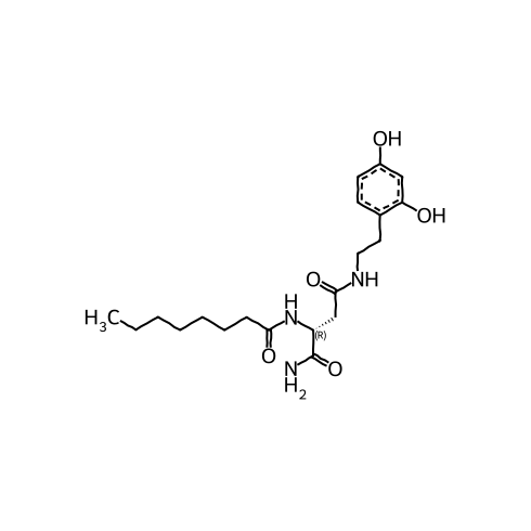 CCCCCCCC(=O)N[C@H](CC(=O)NCCc1ccc(O)cc1O)C(N)=O